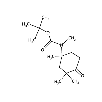 CN(C(=O)OC(C)(C)C)C1(C)CCC(=O)C(C)(C)C1